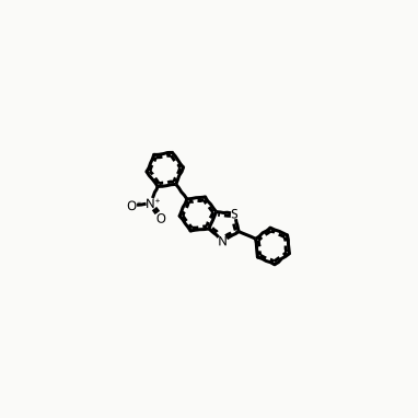 O=[N+]([O-])c1ccccc1-c1ccc2nc(-c3ccccc3)sc2c1